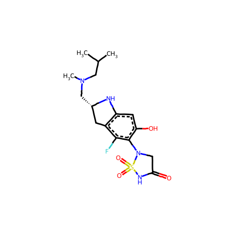 CC(C)CN(C)C[C@H]1Cc2c(cc(O)c(N3CC(=O)NS3(=O)=O)c2F)N1